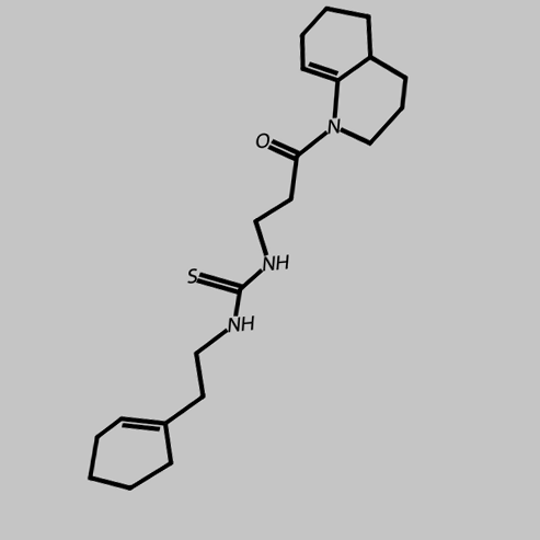 O=C(CCNC(=S)NCCC1=CCCCC1)N1CCCC2CCCC=C21